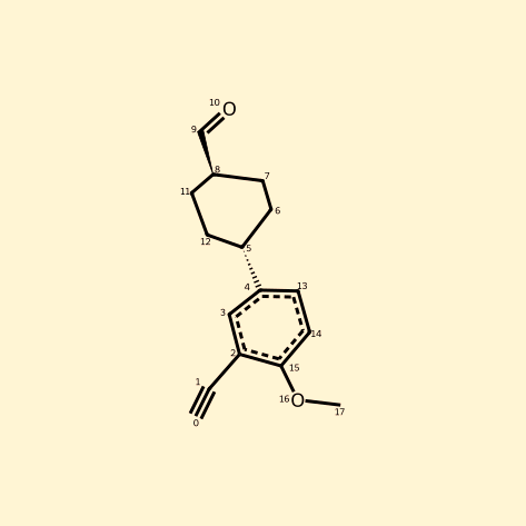 C#Cc1cc([C@H]2CC[C@H](C=O)CC2)ccc1OC